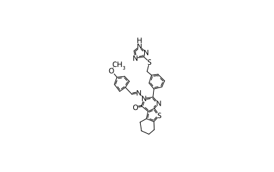 COc1ccc(/C=N/n2c(-c3cccc(CSc4nc[nH]n4)c3)nc3sc4c(c3c2=O)CCCC4)cc1